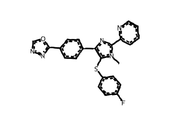 Cn1c(-c2ccccn2)nc(-c2ccc(-c3nnco3)cc2)c1Sc1ccc(F)cc1